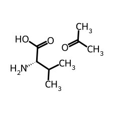 CC(C)=O.CC(C)[C@H](N)C(=O)O